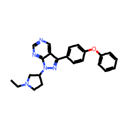 CCN1CCC(n2nc(-c3ccc(Oc4ccccc4)cc3)c3cncnc32)C1